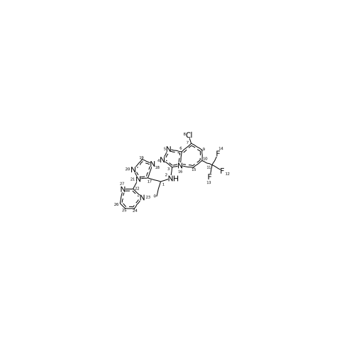 CC(Nc1nnc2c(Cl)cc(C(F)(F)F)cn12)c1ncnn1-c1ncccn1